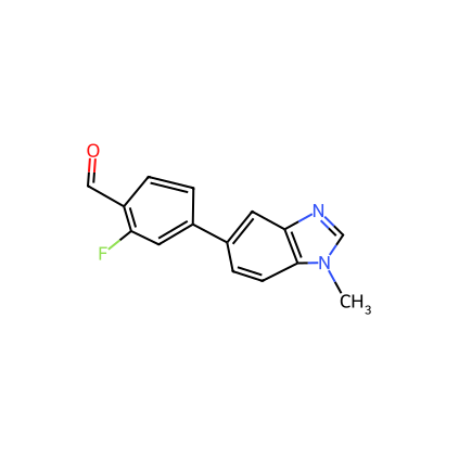 Cn1cnc2cc(-c3ccc(C=O)c(F)c3)ccc21